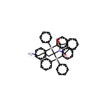 NCCCC(N1C(=O)c2ccccc2C1=O)([Si](c1ccccc1)(c1ccccc1)c1ccccc1)[Si](c1ccccc1)(c1ccccc1)c1ccccc1